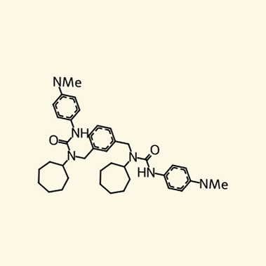 CNc1ccc(NC(=O)N(Cc2cccc(CN(C(=O)Nc3ccc(NC)cc3)C3CCCCCC3)c2)C2CCCCCC2)cc1